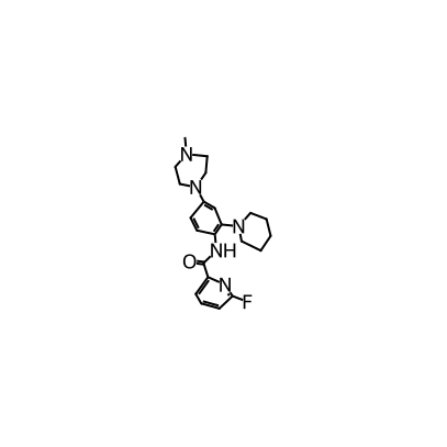 CN1CCN(c2ccc(NC(=O)c3cccc(F)n3)c(N3CCCCC3)c2)CC1